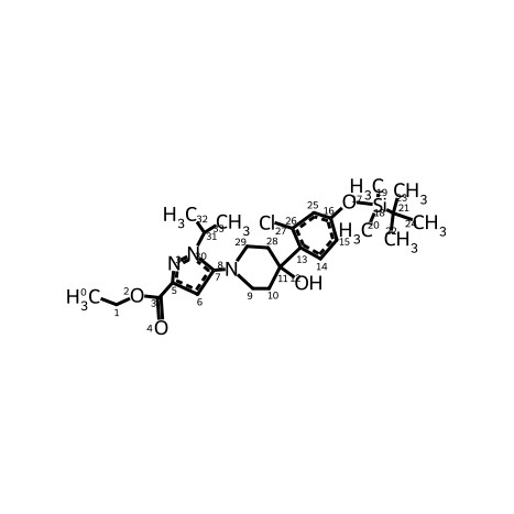 CCOC(=O)c1cc(N2CCC(O)(c3ccc(O[Si](C)(C)C(C)(C)C)cc3Cl)CC2)n(C(C)C)n1